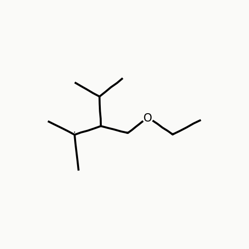 CCOCC([C](C)C)C(C)C